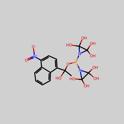 CC(O)(OP(N1C(O)(O)C1(O)O)N1C(O)(O)C1(O)O)c1ccc([N+](=O)[O-])c2ccccc12